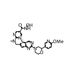 COc1ccc(C2CN(c3ncc4sc(CN(C)c5ncc(C(=O)NO)cn5)cc4n3)CCO2)cn1